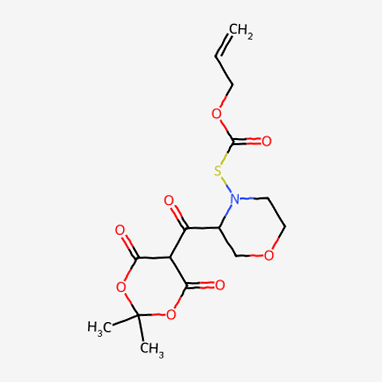 C=CCOC(=O)SN1CCOCC1C(=O)C1C(=O)OC(C)(C)OC1=O